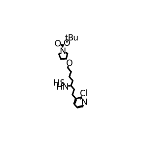 CC(C)(C)OC(=O)N1CC[C@@H](OCCCCC(CCc2cccnc2Cl)NS)C1